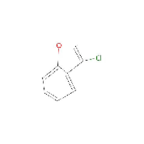 Clc1[c]oc2ccccc12